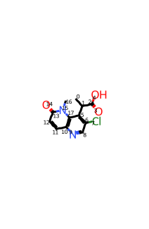 CC(C(=O)O)c1c(Cl)cnc2ccc(=O)n(C)c12